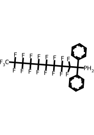 FC(F)(F)C(F)(F)C(F)(F)C(F)(F)C(F)(F)C(F)(F)C(F)(F)C(F)(F)C(F)(F)C(P)(c1ccccc1)c1ccccc1